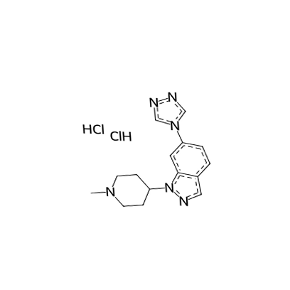 CN1CCC(n2ncc3ccc(-n4cnnc4)cc32)CC1.Cl.Cl